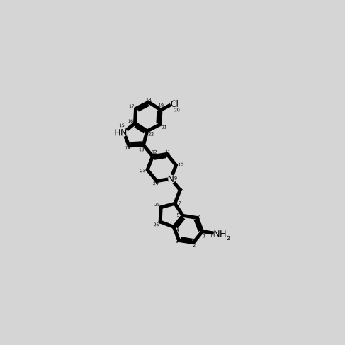 Nc1ccc2c(c1)C(CN1CC=C(c3c[nH]c4ccc(Cl)cc34)CC1)CC2